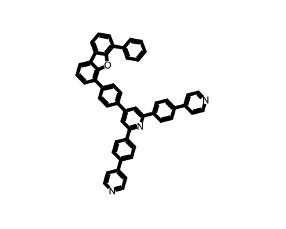 c1ccc(-c2cccc3c2oc2c(-c4ccc(-c5cc(-c6ccc(-c7ccncc7)cc6)nc(-c6ccc(-c7ccncc7)cc6)c5)cc4)cccc23)cc1